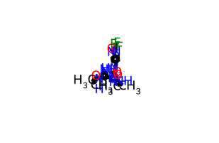 CC(C)Nc1ncc(-c2cc(N)cc(NC(=O)C(C)C)c2)n(CC(=O)NCc2ccc(-c3noc(C(F)(F)F)n3)cc2)c1=O